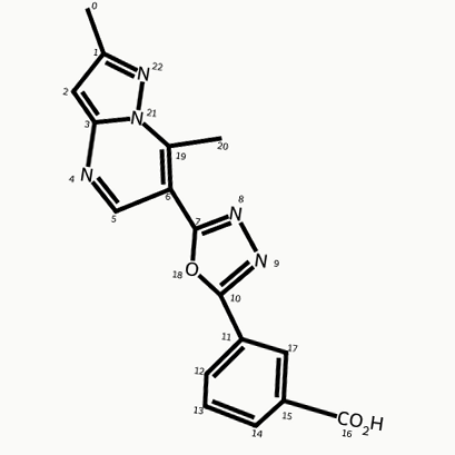 Cc1cc2ncc(-c3nnc(-c4cccc(C(=O)O)c4)o3)c(C)n2n1